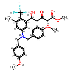 COC(=O)CC(=O)CC(O)c1cc(N(Cc2ccc(OC)cc2)Cc2ccc(OC)cc2)cc(C)c1C(F)(F)F